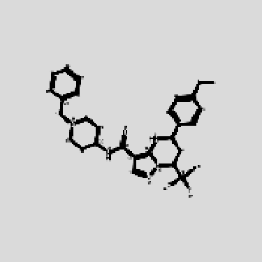 CCc1ccc(C2CC(C(F)(F)F)n3ncc(C(=O)NC4CCN(Cc5ccccc5)CC4)c3N2)cc1